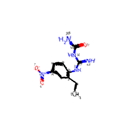 CCc1cc([N+](=O)[O-])ccc1NC(=N)NC(N)=O